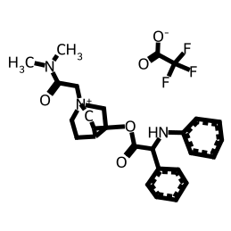 CN(C)C(=O)C[N+]12CCC(CC1)C(OC(=O)C(Nc1ccccc1)c1ccccc1)C2.O=C([O-])C(F)(F)F